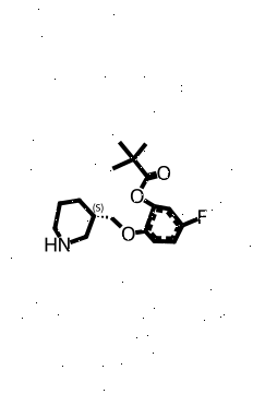 CC(C)(C)C(=O)Oc1cc(F)ccc1OC[C@H]1CCCNC1